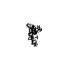 COc1cc(Nc2nc3ccccc3nc2NS(=O)(=O)c2cccc(NC(=O)c3ccc(OC)cc3C)c2)cc(OC)c1